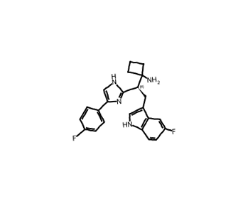 NC1([C@@H](Cc2c[nH]c3ccc(F)cc23)c2nc(-c3ccc(F)cc3)c[nH]2)CCC1